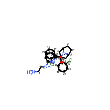 NCCNc1cccc(C2(O)CC3CCC(C2)N3C(c2ccccc2Cl)c2ccccc2Cl)n1